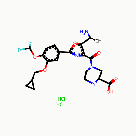 C[C@H](N)c1oc(-c2ccc(OC(F)F)c(OCC3CC3)c2)nc1C(=O)N1CCNC(C(=O)O)C1.Cl.Cl